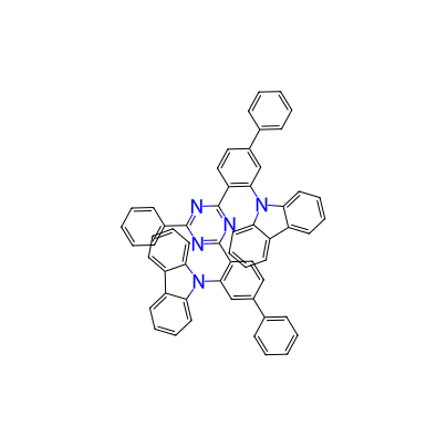 c1ccc(-c2ccc(-c3nc(-c4ccccc4)nc(-c4ccc(-c5ccccc5)cc4-n4c5ccccc5c5ccccc54)n3)c(-n3c4ccccc4c4ccccc43)c2)cc1